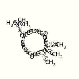 C=C=C=C=C1C(CCCCC)CCOC(=O)CCCCCCCC(OCCCCN(C)C(C)C)CCCCCCCC(=O)OCCC1CCCCC